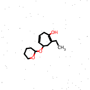 CCC1=C(O)CC=CC(OC2CCCCO2)C1